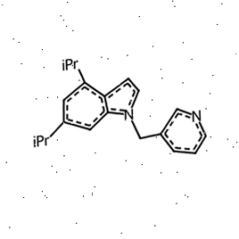 CC(C)c1cc(C(C)C)c2ccn(Cc3cccnc3)c2c1